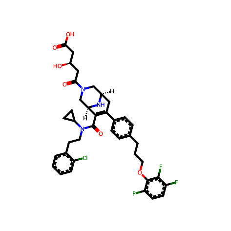 O=C(O)C[C@H](O)CC(=O)N1C[C@H]2CC(c3ccc(CCCOc4c(F)ccc(F)c4F)cc3)=C(C(=O)N(CCc3ccccc3Cl)C3CC3)[C@@H](C1)N2